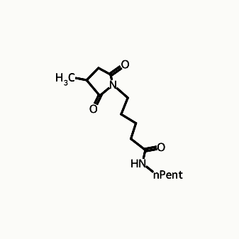 CCCCCNC(=O)CCCCN1C(=O)CC(C)C1=O